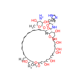 COC(=O)[C@H](Cc1c[nH]cn1)NC(=O)[C@H]1[C@@H]2C[C@@H](O[C@@H]3O[C@H](C)[C@@H](O)[C@H](N)[C@H]3O)/C=C/C=C/C=C/C=C/C=C/C=C/C=C/[C@H](C)[C@@H](O)[C@@H](C)[C@H](C)OC(=O)C[C@H](O)C[C@H](O)CC[C@@H](O)[C@H](O)C[C@H](O)C[C@](O)(C[C@@H]1O)O2